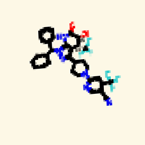 N#Cc1cnc(N2CCC(c3nn(C(c4ccccc4)c4ccccc4)c4c3[C@@H](C(F)(F)F)[C@@H](O)C(=O)N4)CC2)cc1C(F)(F)F